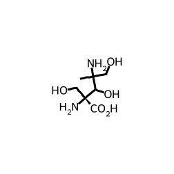 CC(N)(CO)C(O)[C@](N)(CO)C(=O)O